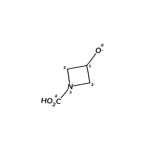 [O]C1CN(C(=O)O)C1